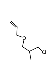 C=CCOCC(C)CCl